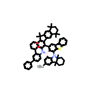 CC(C)(C)c1cc2c3c(c1)C1(C)CCCCC1(C)N3c1c3c(cc4c1sc1ccccc14)-c1c(ccc4c1-c1cc5c(cc1C4(C)C)C(C)(C)CCC5(C)C)N(c1ccc(-c4ccccc4)cc1-c1ccccc1)B23